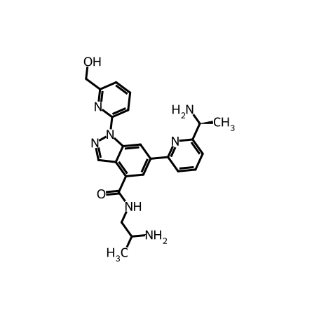 CC(N)CNC(=O)c1cc(-c2cccc([C@H](C)N)n2)cc2c1cnn2-c1cccc(CO)n1